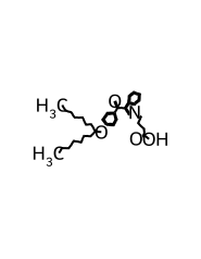 CCCCCCCC(CCCCCCC)Oc1ccc(C(=O)c2cn(CCCC(=O)O)c3ccccc23)cc1